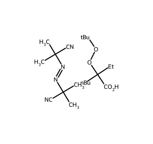 CC(C)(C#N)/N=N/C(C)(C)C#N.CCCCC(CC)(OOC(C)(C)C)C(=O)O